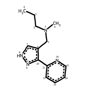 CCCN(C)Cc1c[nH]nc1-c1ccccn1